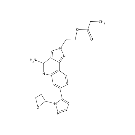 CCC(=O)OCCn1cc2c(N)nc3cc(-c4ccnn4C4CCO4)ccc3c2n1